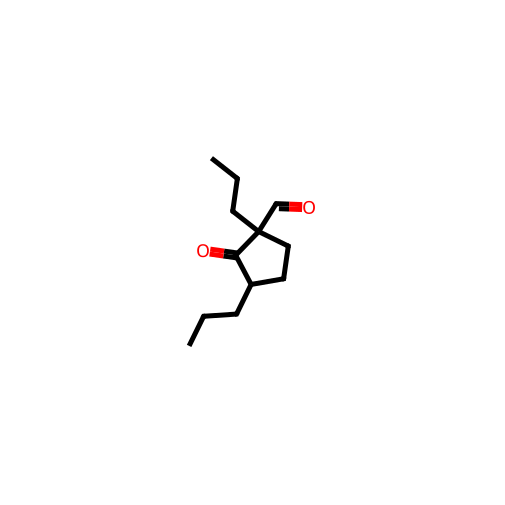 CCCC1CCC(C=O)(CCC)C1=O